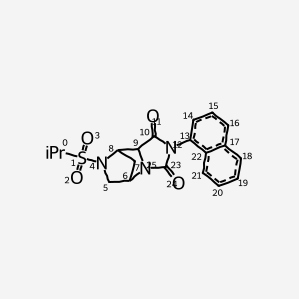 CC(C)S(=O)(=O)N1CC2CC1C1C(=O)N(c3cccc4ccccc34)C(=O)N21